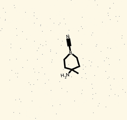 CC1(N)CCB(C#N)CC1